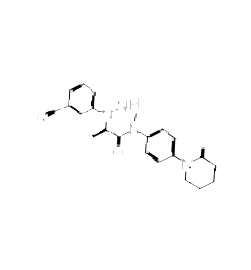 C=C(C(=O)N(C)c1ccc(N2CCCCC2=O)cc1)N(N)c1cccc(C#N)c1